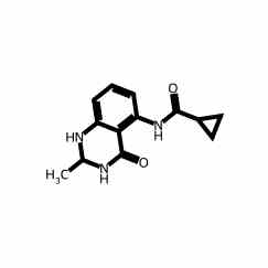 CC1NC(=O)c2c(NC(=O)C3CC3)cccc2N1